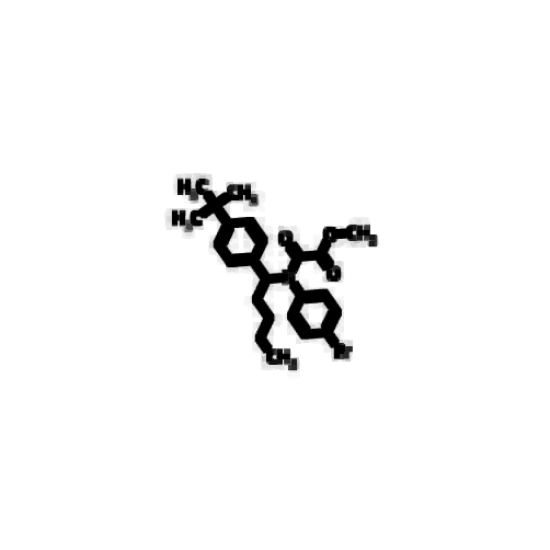 CCCCC(c1ccc(C(C)(C)C)cc1)N(C(=O)C(=O)OC)c1ccc(Br)cc1